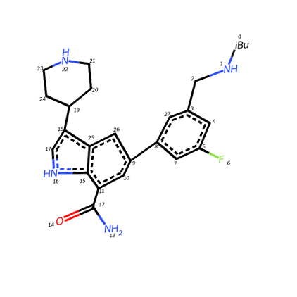 CCC(C)NCc1cc(F)cc(-c2cc(C(N)=O)c3[nH]cc(C4CCNCC4)c3c2)c1